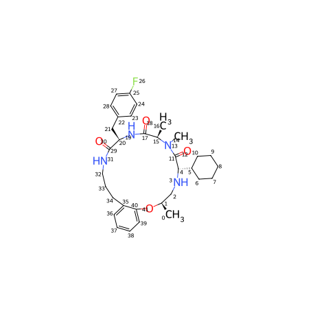 C[C@@H]1CN[C@@H](C2CCCCC2)C(=O)N(C)[C@H](C)C(=O)N[C@H](Cc2ccc(F)cc2)C(=O)NCCCc2ccccc2O1